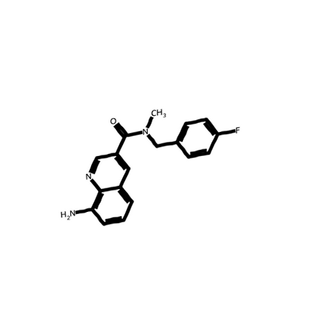 CN(Cc1ccc(F)cc1)C(=O)c1cnc2c(N)cccc2c1